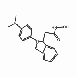 CN(C)c1ccc(N2Sc3ccccc3C2CC(=O)NO)cc1